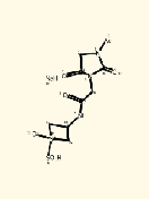 CC(=O)N1CC(=O)N(CC(=O)NC2C[N+]([O-])(S(=O)(=O)O)C2)C1=O.[NaH]